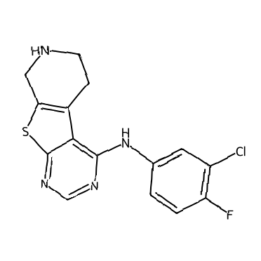 Fc1ccc(Nc2ncnc3sc4c(c23)CCNC4)cc1Cl